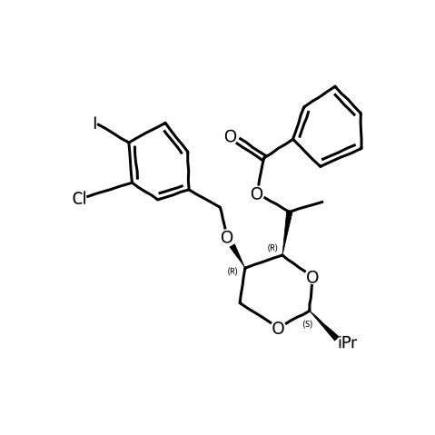 CC(C)[C@H]1OC[C@@H](OCc2ccc(I)c(Cl)c2)[C@@H](C(C)OC(=O)c2ccccc2)O1